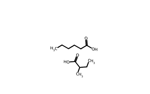 CCC(C)C(=O)O.CCCCCC(=O)O